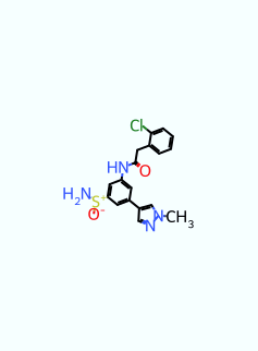 Cn1cc(-c2cc(NC(=O)Cc3ccccc3Cl)cc([S+](N)[O-])c2)cn1